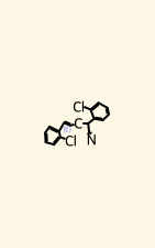 N#CC(C/C=C/c1ccccc1Cl)c1ccccc1Cl